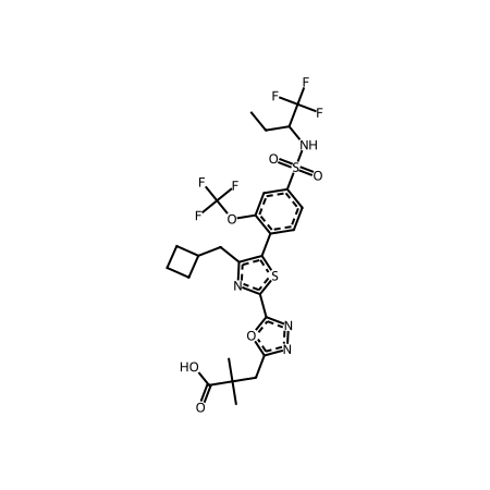 CCC(NS(=O)(=O)c1ccc(-c2sc(-c3nnc(CC(C)(C)C(=O)O)o3)nc2CC2CCC2)c(OC(F)(F)F)c1)C(F)(F)F